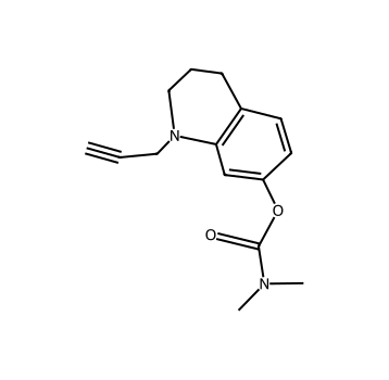 C#CCN1CCCc2ccc(OC(=O)N(C)C)cc21